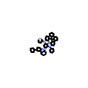 CC12CCCCC1(C)N(c1cc3c4c(c1)N(c1ccccc1)c1cccc5c1B4c1c(cccc1C5(c1ccccc1)c1ccccc1)N3c1ccccc1)c1ccc(-c3ccccc3)cc12